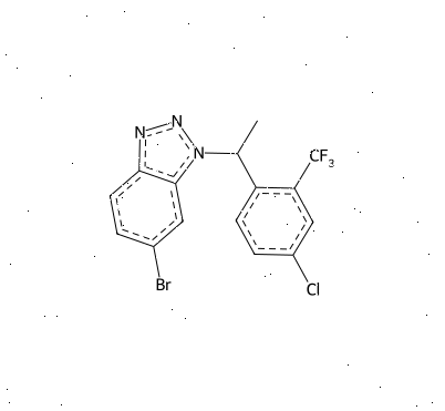 CC(c1ccc(Cl)cc1C(F)(F)F)n1nnc2ccc(Br)cc21